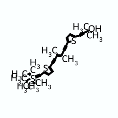 C/C(C#Cc1ccc(C#CC(C)(C)O)s1)=C(/C)C#Cc1ccc(C#C[Si](C(C)C)(C(C)C)C(C)C)s1